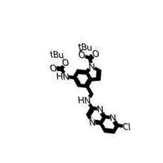 CC(C)(C)OC(=O)Nc1cc(CNc2cnc3ccc(Cl)nc3n2)c2ccn(C(=O)OC(C)(C)C)c2c1